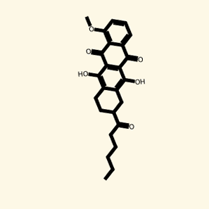 CCCCCC(=O)C1CCc2c(O)c3c(c(O)c2C1)C(=O)c1cccc(OC)c1C3=O